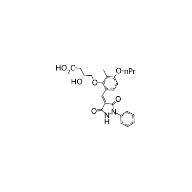 CCCOc1ccc(C=C2C(=O)NN(c3ccccc3)C2=O)c(OC[C@H](O)CC(=O)O)c1C